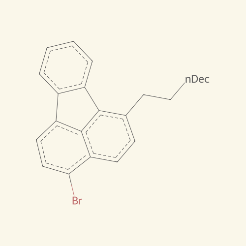 CCCCCCCCCCCCc1ccc2c(Br)ccc3c2c1-c1ccccc1-3